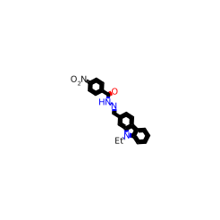 CCn1c2ccccc2c2ccc(/C=N/NC(=O)c3ccc([N+](=O)[O-])cc3)cc21